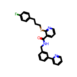 O=C(NCc1cccc(-c2ccccn2)c1)c1cccnc1SCCCc1ccc(F)cc1